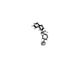 C[C@@H]1CCCN(C(=O)OC(C)(C)C)CCN1S(=O)(=O)c1ccc2cnccc2c1